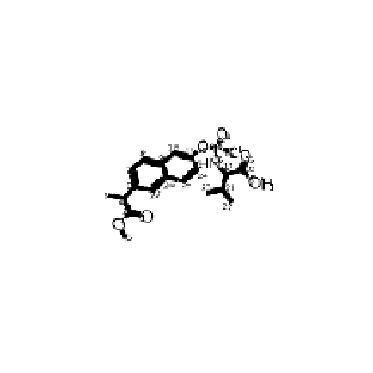 COC(=O)C(C)c1ccc2cc(OP(=O)(Cl)NC(C(=O)O)C(C)C)ccc2c1